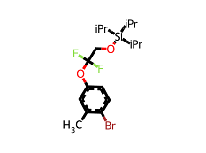 Cc1cc(OC(F)(F)CO[Si](C(C)C)(C(C)C)C(C)C)ccc1Br